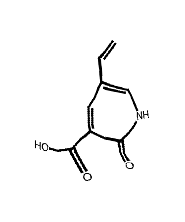 C=Cc1c[nH]c(=O)c(C(=O)O)c1